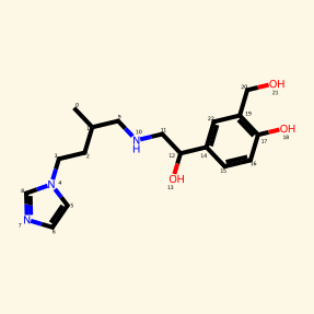 CC(CCn1ccnc1)CNCC(O)c1ccc(O)c(CO)c1